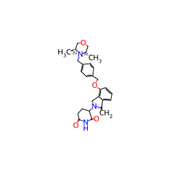 C=C1c2cccc(OCc3ccc(CN4[C@@H](C)COC[C@@H]4C)cc3)c2CN1C1CCC(=O)NC1=O